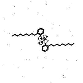 CCCCCCCCCc1ccccc1O[Si](OC)(OC)Oc1ccccc1CCCCCCCCC